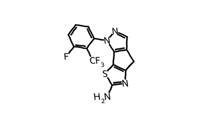 Nc1nc2c(s1)-c1c(cnn1-c1cccc(F)c1C(F)(F)F)C2